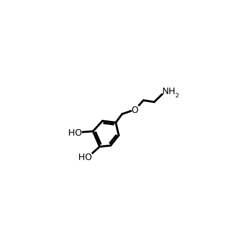 NCCOCc1ccc(O)c(O)c1